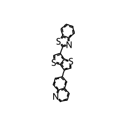 c1cnc2ccc(-c3csc4c(-c5nc6ccccc6s5)csc34)cc2c1